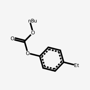 CCCCOC(=O)Oc1ccc(CC)cc1